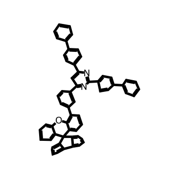 c1ccc(-c2ccc(-c3cc(-c4cccc(-c5cccc6c5Oc5ccccc5C65c6ccccc6-c6ccccc65)c4)nc(-c4ccc(-c5ccccc5)cc4)n3)cc2)cc1